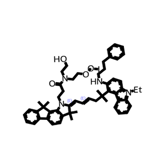 CCn1c2ccccc2c2c(C(C)(C)C/C=C/C=C3/N(CCC(=O)N(CCO)CCOOI)c4c(ccc5c4C(C)(C)c4ccccc4-5)C3(C)C)c(NCCCc3ccccc3)ccc21